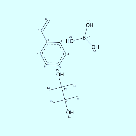 C=Cc1ccccc1.CC(C)(O)C(C)(C)O.OB(O)O